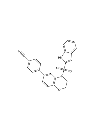 N#Cc1ccc(-c2ccc3c(c2)N(S(=O)(=O)c2cc4ccccc4[nH]2)CCS3)cc1